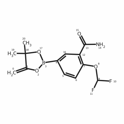 C=C1OB(c2ccc(OC(F)F)c(C(N)=O)c2)OC1(C)C